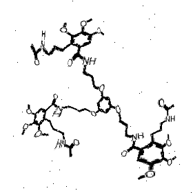 COc1cc(C(=O)NCCCOc2cc(OCCCNC(=O)c3cc(OC)c(OC)c(OC)c3CCCNC(C)=O)cc(OCCCNC(=O)c3cc(OC)c(OC)c(OC)c3CCCNC(C)=O)c2)c(CCCNC(C)=O)c(OC)c1OC